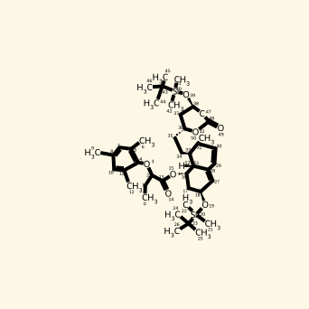 CCC(Oc1c(C)cc(C)cc1C)C(=O)O[C@H]1C[C@H](O[Si](C)(C)C(C)(C)C)C=C2C=C[C@H](C)[C@H](CC[C@@H]3C[C@@H](O[Si](C)(C)C(C)(C)C)CC(=O)O3)[C@H]21